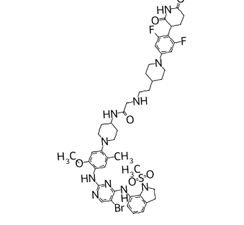 COc1cc(N2CCC(NC(=O)CNCCC3CCN(c4cc(F)c(C5CCC(=O)NC5=O)c(F)c4)CC3)CC2)c(C)cc1Nc1ncc(Br)c(Nc2cccc3c2N(S(C)(=O)=O)CC3)n1